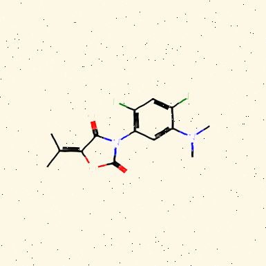 CC(C)=C1OC(=O)N(c2cc(N(C)C)c(F)cc2F)C1=O